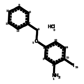 Cl.Nc1cc(OCc2ccccc2)ccc1I